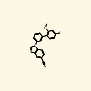 COc1cc(F)ccc1-c1cccc(-n2cnc3cc(C#N)ccc32)c1